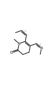 C/C=C\C1=C(/C=N\C)CCC(=O)N1C